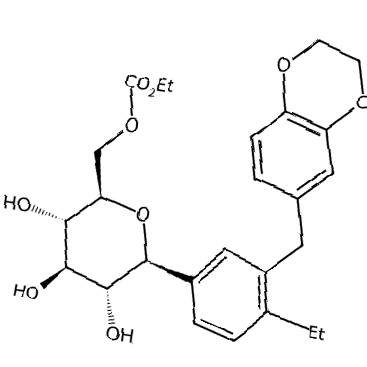 CCOC(=O)OC[C@H]1O[C@@H](c2ccc(CC)c(Cc3ccc4c(c3)OCCO4)c2)[C@H](O)[C@@H](O)[C@@H]1O